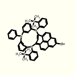 CC(C)(C)c1cc2ccc3c4cc(c5ccc(c1)c2c35)N(c1ccccc1S(C)(C)C)c1cccc(c1)N(c1ccccc1)c1cccc(c1)N4c1ccccc1S(C)(C)C